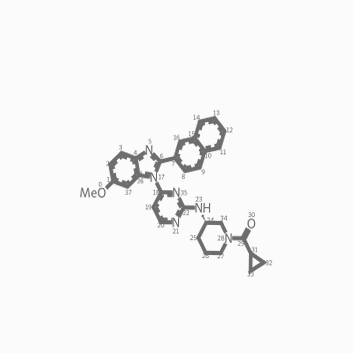 COc1ccc2nc(-c3ccc4ccccc4c3)n(-c3ccnc(N[C@H]4CCCN(C(=O)C5CC5)C4)n3)c2c1